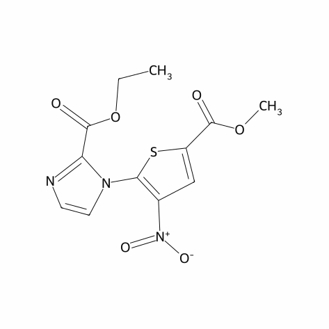 CCOC(=O)c1nccn1-c1sc(C(=O)OC)cc1[N+](=O)[O-]